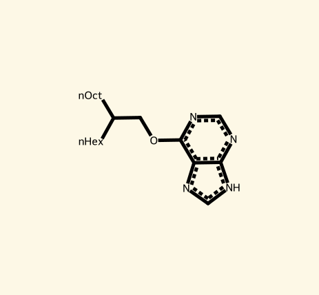 CCCCCCCCC(CCCCCC)COc1ncnc2[nH]cnc12